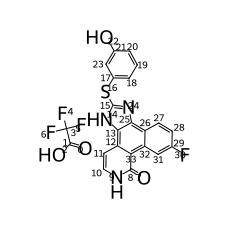 O=C(O)C(F)(F)F.O=c1[nH]ccc2c3[nH]c(Sc4cccc(O)c4)nc3c3ccc(F)cc3c12